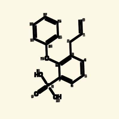 C=CCc1cccc(P(=O)(O)O)c1Oc1ccccc1